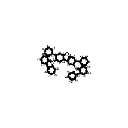 c1ccc(-c2cc3oc4cc(-c5ccccc5)c(-n5c6ccccc6c6ccccc65)cc4c3cc2-n2c3ccccc3c3ccccc32)cc1